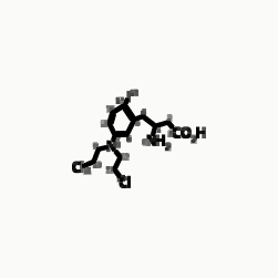 NC(CC(=O)O)Cc1cc(N(CCCl)CCCl)ccc1I